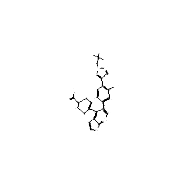 CC(C)(O)Cn1cc(-c2ccc(-c3cnc4[nH]ccc4c3C3=CCC(C(N)=O)CC3)cc2F)cn1